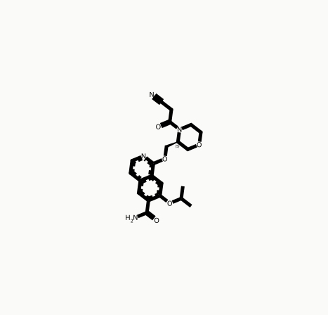 CC(C)Oc1cc2c(OC[C@@H]3COCCN3C(=O)CC#N)nccc2cc1C(N)=O